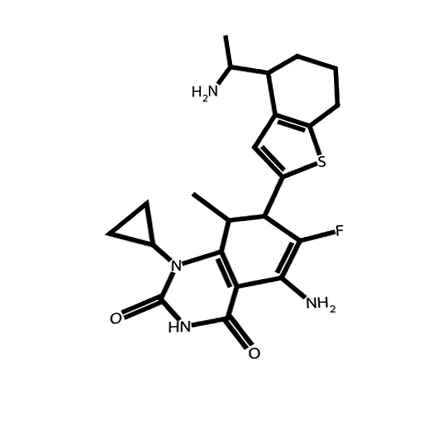 CC(N)C1CCCc2sc(C3C(F)=C(N)c4c(n(C5CC5)c(=O)[nH]c4=O)C3C)cc21